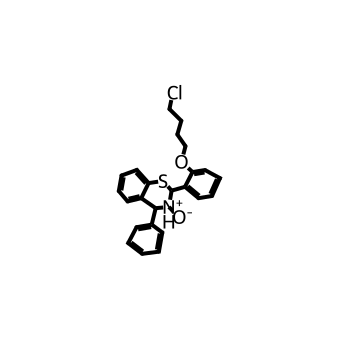 [O-][NH+]1C(c2ccccc2OCCCCCl)Sc2ccccc2C1c1ccccc1